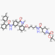 Cc1ccc(-c2ccccc2C(=O)Nc2ccc(C(=O)N(C)c3ccccc3OCCCCNC(=O)C3CCN(C(=O)OC(C)(C)C)CC3)cc2)cc1